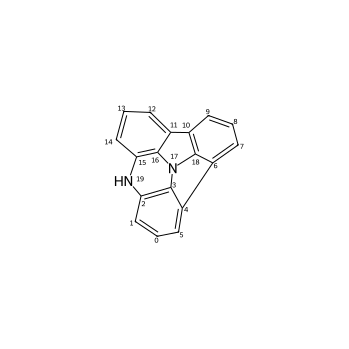 c1cc2c3c(c1)c1cccc4c5cccc(c5n3c14)N2